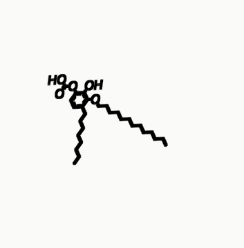 CCCCCCCCCCCCCOc1c(CCCCCCCC)ccc(OC(=O)O)c1O